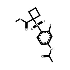 COC(=O)C1(S(=O)(=O)c2ccc(NC(C)=O)cc2F)CCC1